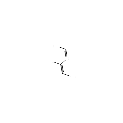 C/C=N\C(=C/C(C)CC)C(C)(C)C